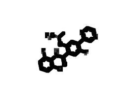 C[C@H](Oc1cc(-c2cnccn2)c(F)cc1C(=O)Nc1c(F)cccc1Cl)C(F)(F)F